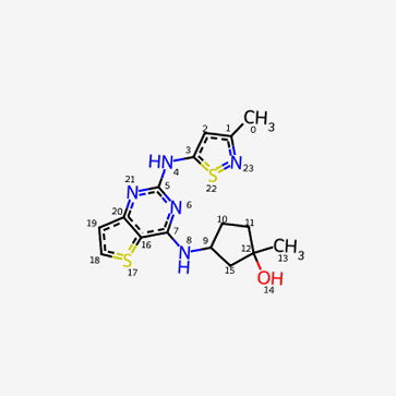 Cc1cc(Nc2nc(NC3CCC(C)(O)C3)c3sccc3n2)sn1